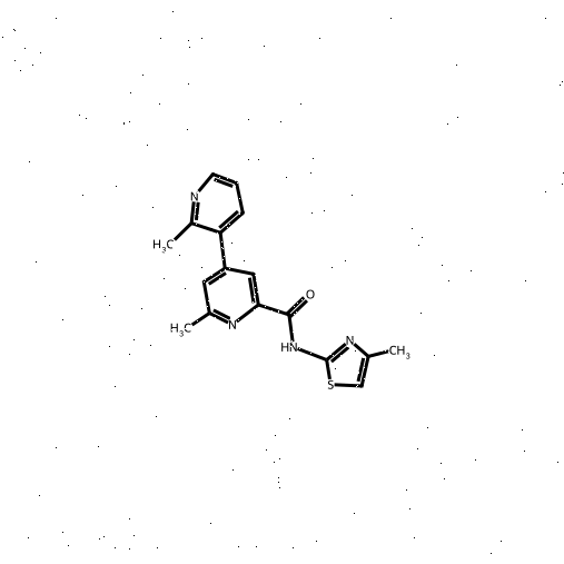 Cc1cc(-c2cccnc2C)cc(C(=O)Nc2nc(C)cs2)n1